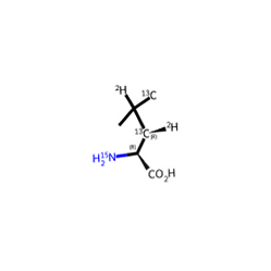 [2H][13C@@H]([C@H]([15NH2])C(=O)O)C([2H])(C)[13CH3]